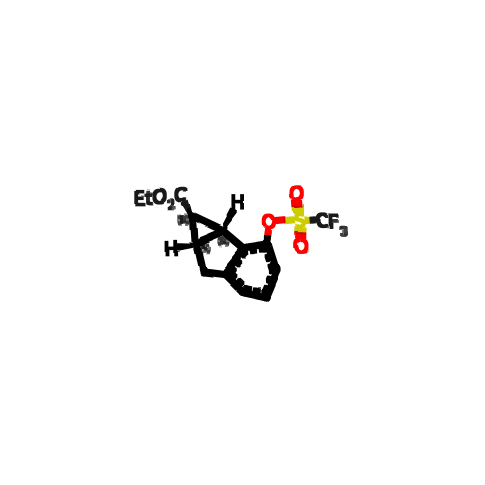 CCOC(=O)[C@@H]1[C@H]2Cc3cccc(OS(=O)(=O)C(F)(F)F)c3[C@H]21